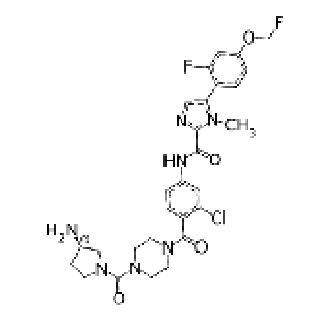 Cn1c(-c2ccc(OCF)cc2F)cnc1C(=O)Nc1ccc(C(=O)N2CCN(C(=O)N3CC[C@@H](N)C3)CC2)c(Cl)c1